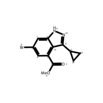 COC(=O)c1cc(Br)cc2[nH]nc(C3CC3)c12